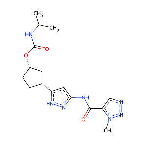 CC(C)NC(=O)O[C@H]1CC[C@@H](c2cc(NC(=O)c3cnnn3C)n[nH]2)C1